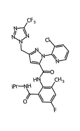 Cc1cc(F)cc(C(=O)NC(C)C)c1NC(=O)c1cc(Cn2nnc(C(F)(F)F)n2)nn1-c1ncccc1Cl